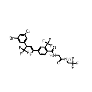 O=C(CNC(=O)c1ccc(C(F)=CC(c2cc(Cl)cc(Br)c2)C(F)(F)F)cc1C(F)(F)F)NCC(F)(F)F